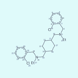 CCN(Cc1ccccc1Cl)CC1CCC(CN(CC)Cc2ccccc2Cl)CC1